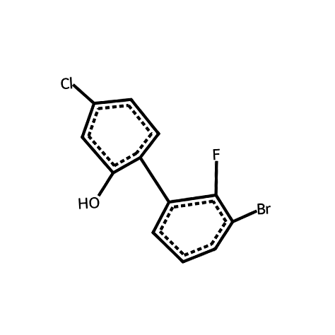 Oc1cc(Cl)ccc1-c1cccc(Br)c1F